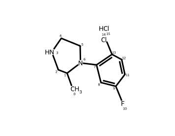 CC1CNCCN1c1cc(F)ccc1Cl.Cl